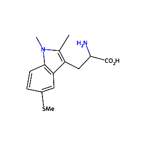 CSc1ccc2c(c1)c(CC(N)C(=O)O)c(C)n2C